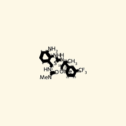 CNC(=O)NCc1cccc(N)c1NC(=S)NC(C)(COC)c1cccc(C(F)(F)F)c1